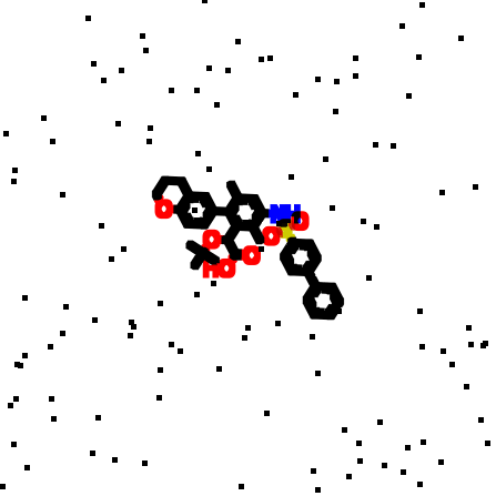 Cc1cc(NS(=O)(=O)c2ccc(-c3ccccc3)cc2)c(C)c(C(OC(C)(C)C)C(=O)O)c1-c1ccc2c(c1)CCCO2